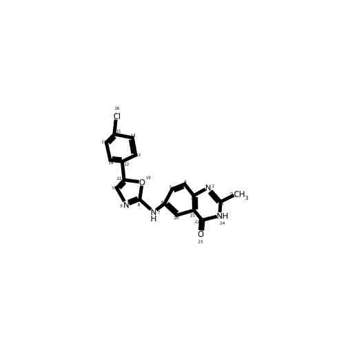 Cc1nc2ccc(Nc3ncc(-c4ccc(Cl)cc4)o3)cc2c(=O)[nH]1